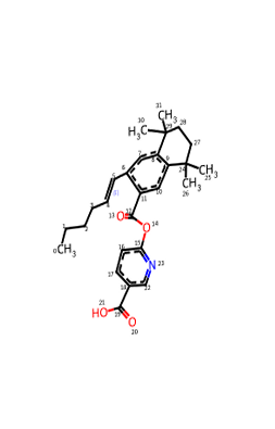 CCCC/C=C/c1cc2c(cc1C(=O)Oc1ccc(C(=O)O)cn1)C(C)(C)CCC2(C)C